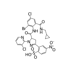 O=C(NCC1CC1)c1cc(Cl)cc(Br)c1NC(=O)C1CC(c2cc([N+](=O)[O-])ccc2S(=O)(=O)O)=NN1c1ncccc1Cl